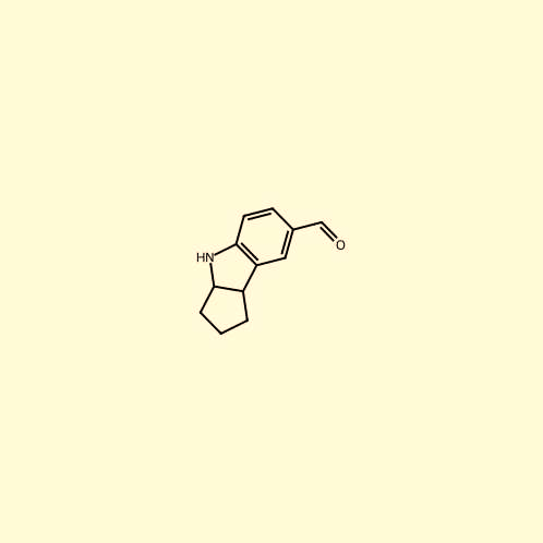 O=Cc1ccc2c(c1)C1CCCC1N2